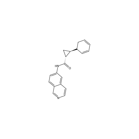 O=C(Nc1ccc2cnccc2c1)[C@@H]1C[C@H]1C1C=CC=CC1